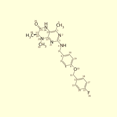 Cc1nc(NCc2ccc(OCc3ccc(F)cc3)cc2)nc2c1NC(=O)[C@H](C)N2C